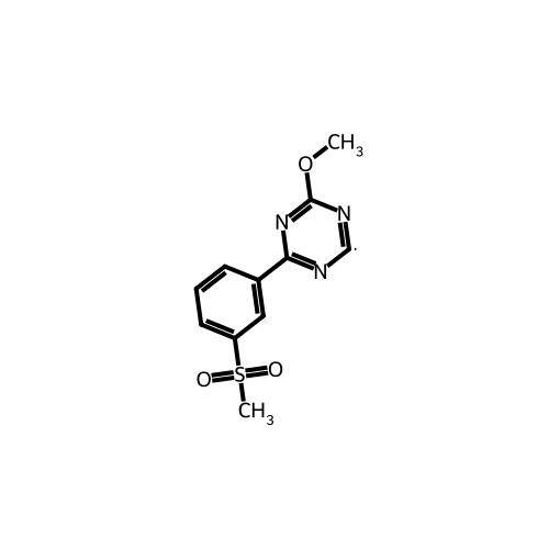 COc1n[c]nc(-c2cccc(S(C)(=O)=O)c2)n1